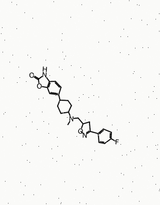 CN(CC1CC(c2ccc(F)cc2)=NO1)C1CCC(c2ccc3[nH]c(=O)oc3c2)CC1